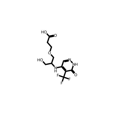 O=C(O)CCOCC(CO)Nc1cn[nH]c(=O)c1C(F)(F)F